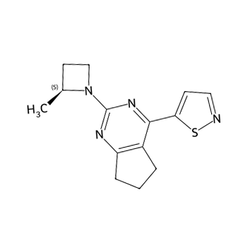 C[C@H]1CCN1c1nc2c(c(-c3ccns3)n1)CCC2